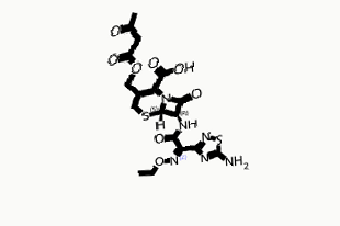 CCO/N=C(\C(=O)N[C@@H]1C(=O)N2C(C(=O)O)=C(COC(=O)CC(C)=O)CS[C@@H]12)c1nsc(N)n1